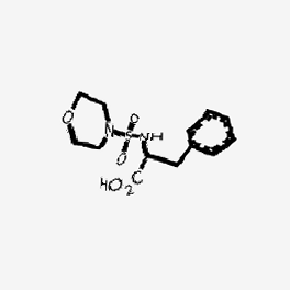 O=C(O)[C@H](Cc1ccccc1)NS(=O)(=O)N1CCOCC1